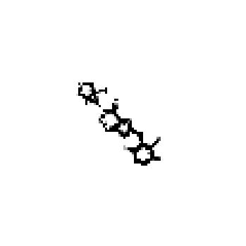 O=c1c2nn(Cc3c(F)ccc(F)c3F)cc2nnn1[C@@H]1[C@@H]2COC[C@@H]21